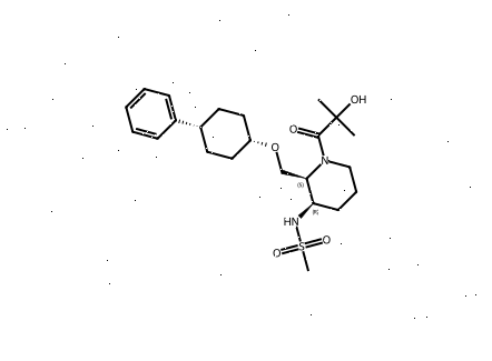 CC(C)(O)C(=O)N1CCC[C@@H](NS(C)(=O)=O)[C@H]1CO[C@H]1CC[C@@H](c2ccccc2)CC1